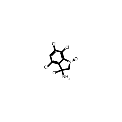 NC1(Cl)C[N+](=O)c2c(Cl)c(Cl)cc(Cl)c21